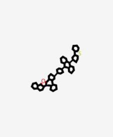 c1ccc2c(c1)ccc1c2oc2c3ccc(-c4ccc(-c5c6ccccc6c(-c6ccc7sc8ccccc8c7c6)c6ccccc56)cc4)cc3c3ccccc3c12